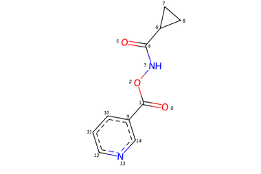 O=C(ONC(=O)C1CC1)c1cccnc1